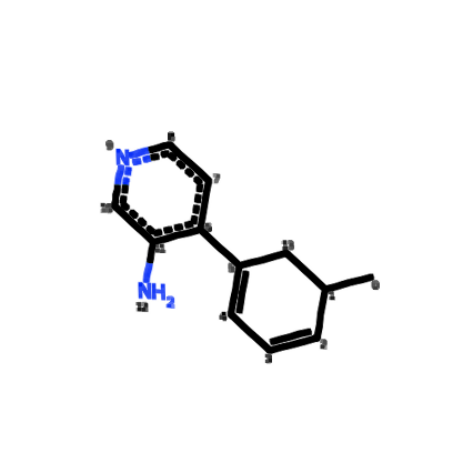 CC1C=CC=C(c2ccncc2N)C1